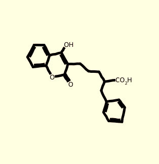 O=C(O)C(CCCc1c(O)c2ccccc2oc1=O)Cc1ccccc1